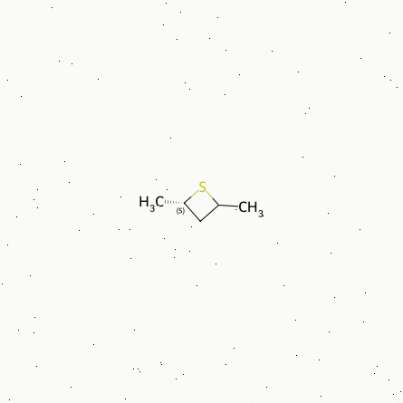 CC1C[C@H](C)S1